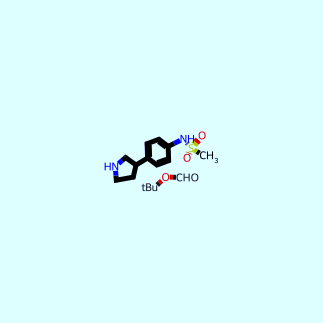 CC(C)(C)OC=O.CS(=O)(=O)Nc1ccc(C2CCNC2)cc1